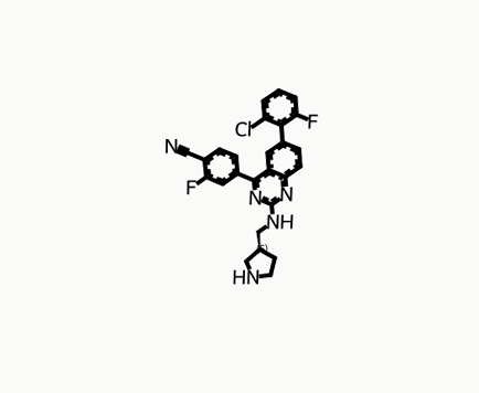 N#Cc1ccc(-c2nc(NC[C@H]3CCNC3)nc3ccc(-c4c(F)cccc4Cl)cc23)cc1F